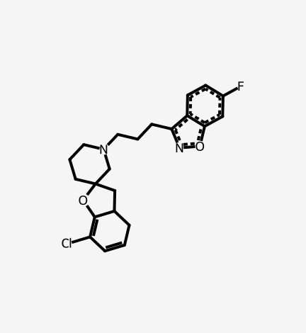 Fc1ccc2c(CCCN3CCCC4(CC5CC=CC(Cl)=C5O4)C3)noc2c1